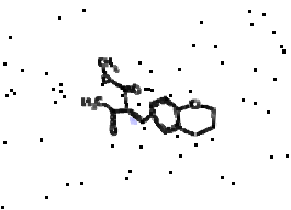 COC(=O)/C(=C\c1ccc2c(c1)CCCO2)C(C)=O